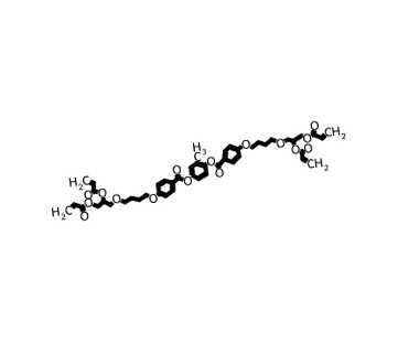 C=CC(=O)OCC(COCCCCOc1ccc(C(=O)Oc2ccc(OC(=O)c3ccc(OCCCCOCC(COC(=O)C=C)OC(=O)C=C)cc3)c(C)c2)cc1)OC(=O)C=C